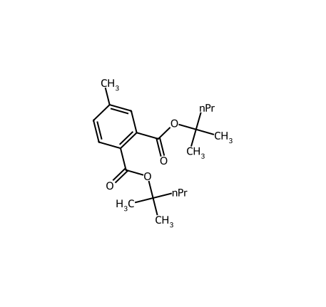 CCCC(C)(C)OC(=O)c1ccc(C)cc1C(=O)OC(C)(C)CCC